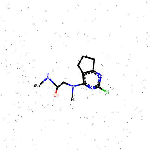 CCN(CC(O)NC(C)(C)C)c1nc(Cl)nc2c1CCC2